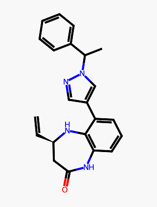 C=C[C@@H]1CC(=O)Nc2cccc(-c3cnn(C(C)c4ccccc4)c3)c2N1